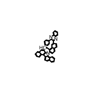 C#Cc1c(-n2c3ccc4ccccc4c3c3ccc4ccccc4c32)ccc2ccc(-c3nc4ccccc4nc3-c3ccccc3)cc12